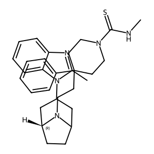 CNC(=S)N1CCC(CCN2C3CC[C@@H]2CC(n2c(C)nc4ccccc42)C3)(c2ccccc2)CC1